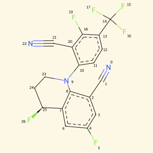 N#Cc1cc(F)cc2c1N(c1ccc(C(F)(F)F)c(F)c1C#N)CC[C@@H]2F